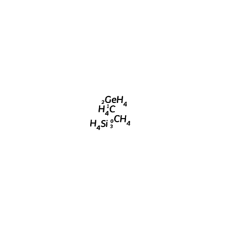 C.C.[GeH4].[SiH4]